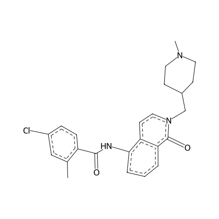 Cc1cc(Cl)ccc1C(=O)Nc1cccc2c(=O)n(CC3CCN(C)CC3)ccc12